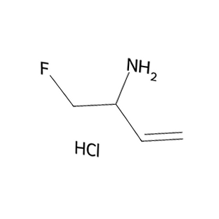 C=CC(N)CF.Cl